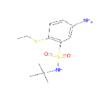 CCSc1ccc(N)cc1S(=O)(=O)NC(C)(C)C